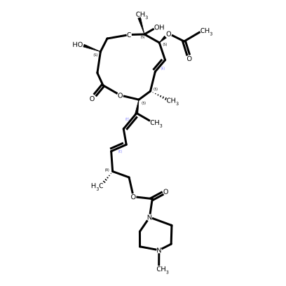 CC(=O)O[C@H]1/C=C/[C@H](C)[C@@H](/C(C)=C/C=C/[C@@H](C)COC(=O)N2CCN(C)CC2)OC(=O)C[C@@H](O)CC[C@]1(C)O